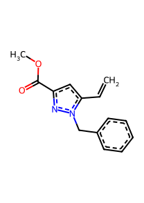 C=Cc1cc(C(=O)OC)nn1Cc1ccccc1